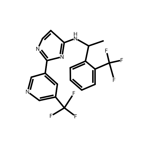 CC(Nc1ccnc(-c2cncc(C(F)(F)F)c2)n1)c1ccccc1C(F)(F)F